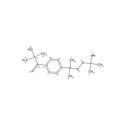 CCCC(C)(C)OOC(C)(C)c1ccc(C(=O)C(C)(C)O)cc1